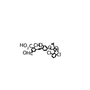 Cc1c(C#Cc2ccc(OCc3c(-c4c(Cl)cccc4Cl)noc3C3CC3)cc2Cl)cc(C=O)cc1C(=O)O